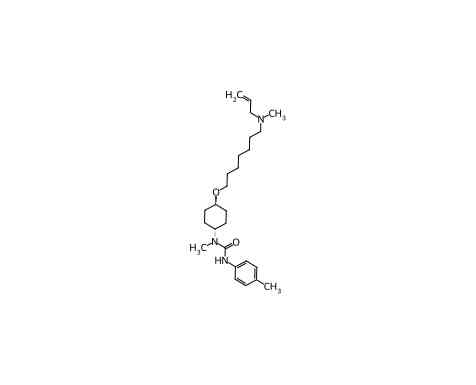 C=CCN(C)CCCCCCCO[C@H]1CC[C@H](N(C)C(=O)Nc2ccc(C)cc2)CC1